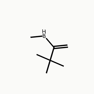 C=C(BC)C(C)(C)C